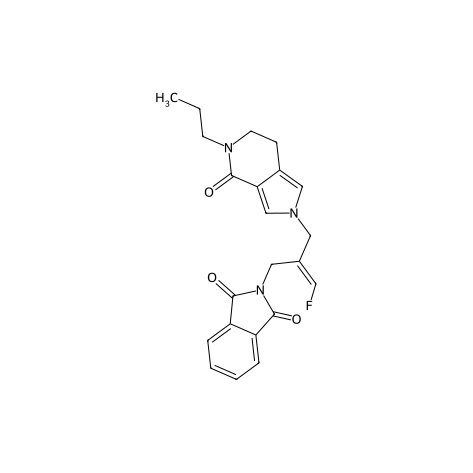 CCCN1CCc2cn(C/C(=C/F)CN3C(=O)c4ccccc4C3=O)cc2C1=O